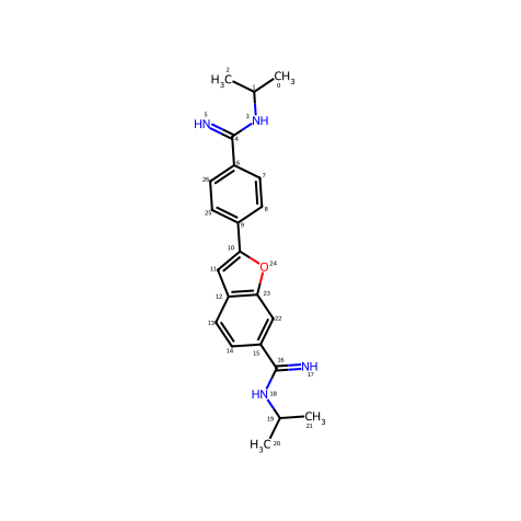 CC(C)NC(=N)c1ccc(-c2cc3ccc(C(=N)NC(C)C)cc3o2)cc1